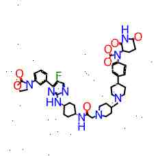 O=C1CCC(n2c(=O)oc3cc(C4CCN(CC5CCN(CC(=O)N[C@H]6CC[C@H](Nc7ncc(F)c(-c8cccc(N9CCOC9=O)c8)n7)CC6)CC5)CC4)ccc32)C(=O)N1